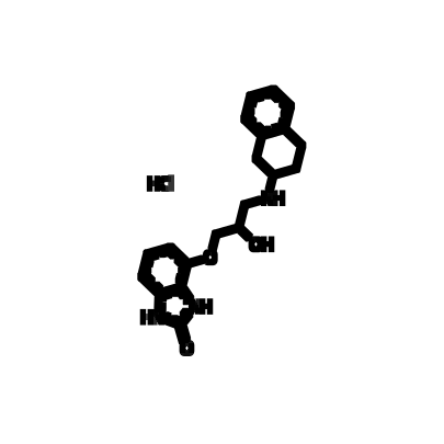 Cl.O=c1[nH]c2cccc(OCC(O)CNC3CCc4ccccc4C3)c2[nH]1